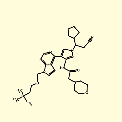 C[Si](C)(C)CCOCn1ccc2c(-c3cn(C(CC#N)C4CCCC4)nc3NC(=O)CN3CCOCC3)ncnc21